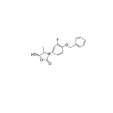 CC1[C@H](O)OC(=O)N1c1ccc(OCc2ccccc2)c(F)c1